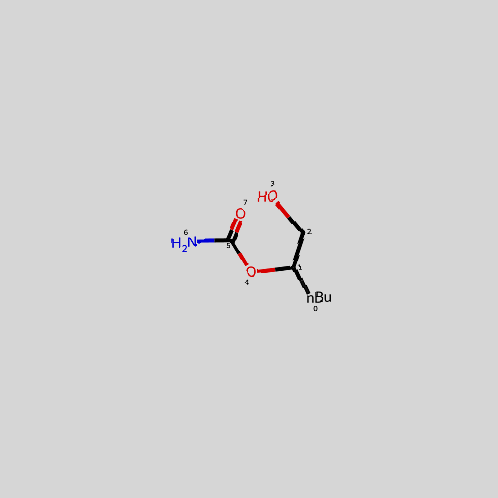 CCCCC(CO)OC(N)=O